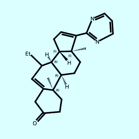 CCC1C=C2CC(=O)CC[C@]2(C)[C@@H]2CC[C@]3(C)C(c4ncccn4)=CC[C@H]3[C@H]12